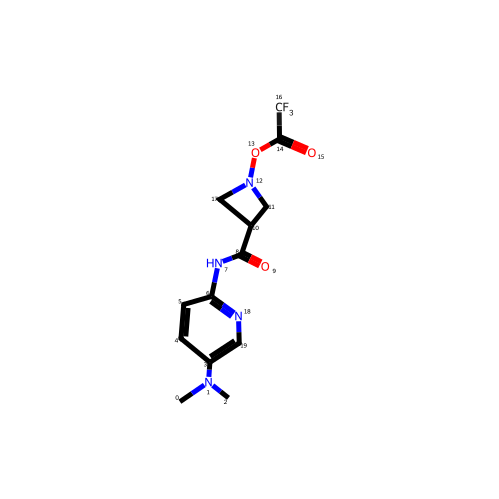 CN(C)c1ccc(NC(=O)C2CN(OC(=O)C(F)(F)F)C2)nc1